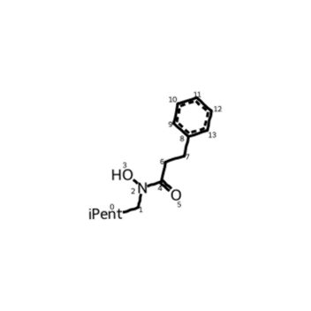 CCCC(C)CN(O)C(=O)CCc1ccccc1